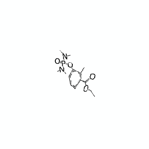 CCOC(=O)c1cccc(OP(=O)(N(C)C)N(C)C)c1C